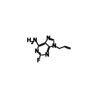 C=CCn1cnc2c(N)nc(F)nc21